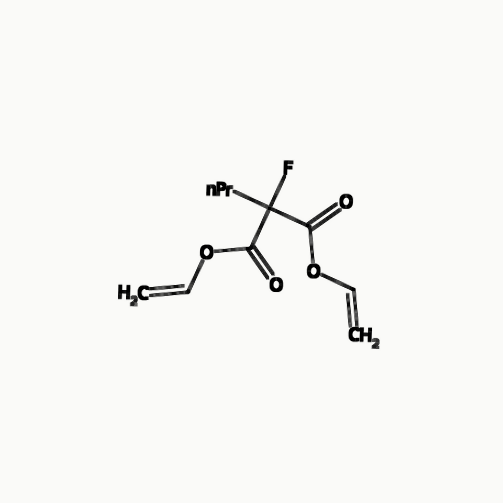 C=COC(=O)C(F)(CCC)C(=O)OC=C